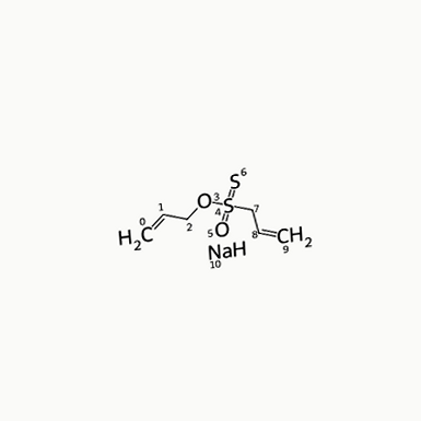 C=CCOS(=O)(=S)CC=C.[NaH]